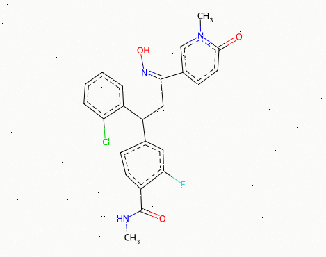 CNC(=O)c1ccc(C(CC(=NO)c2ccc(=O)n(C)c2)c2ccccc2Cl)cc1F